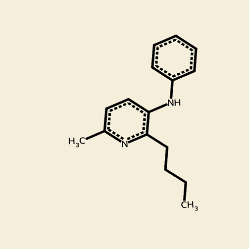 CCCCc1nc(C)ccc1Nc1ccccc1